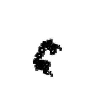 COC(=O)N[C@@H](C(=O)N1CCC[C@H]1c1ncc(-c2ccc(-c3ccc(-c4cnc([C@@H]5CCCN5C(=O)[C@H](OC)c5ccccc5)[nH]4)cc3)cc2)[nH]1)c1ccccc1Cl